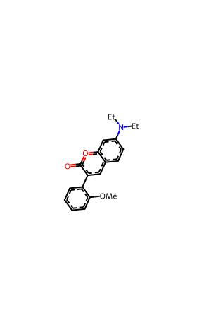 CCN(CC)c1ccc2cc(-c3ccccc3OC)c(=O)oc2c1